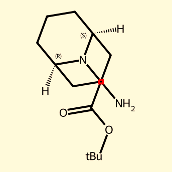 CC(C)(C)OC(=O)CN1[C@@H]2CCC[C@H]1CC(N)C2